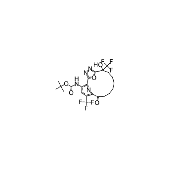 CC(C)(C)OC(=O)Nc1cc(C(F)(F)F)c2nc1-c1nnc(o1)C(O)(C(F)(F)F)CCCCCCC2=O